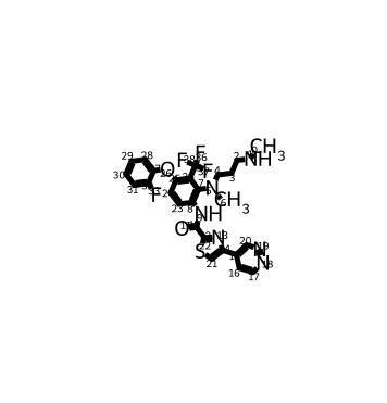 CNCCCN(C)c1c(NC(=O)c2nc(-c3ccnnc3)cs2)ccc(Oc2ccccc2F)c1C(F)(F)F